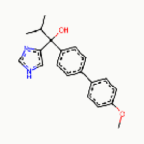 COc1ccc(-c2ccc(C(O)(c3c[nH]cn3)C(C)C)cc2)cc1